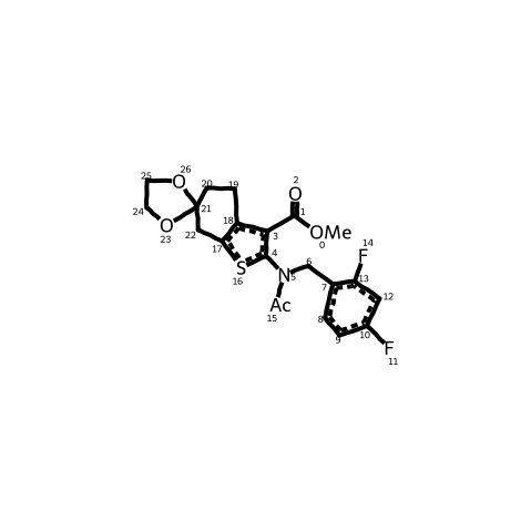 COC(=O)c1c(N(Cc2ccc(F)cc2F)C(C)=O)sc2c1CCC1(C2)OCCO1